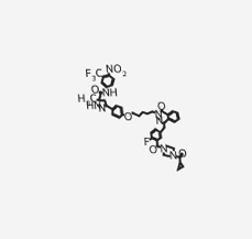 CC1(C(=O)Nc2ccc([N+](=O)[O-])c(C(F)(F)F)c2)CC(c2ccc(OCCCCCn3nc(Cc4ccc(F)c(C(=O)N5CCN(C(=O)C6CC6)CC5)c4)c4ccccc4c3=O)cc2)=NN1